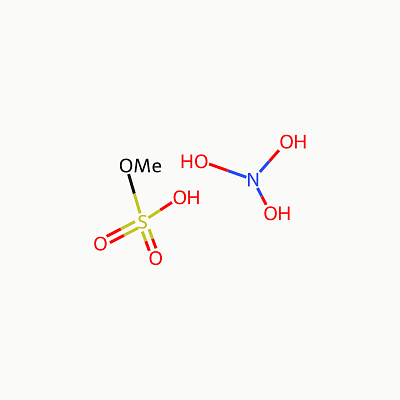 COS(=O)(=O)O.ON(O)O